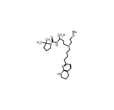 CC(C)(C)OCCN(CCCCc1ccc2c(n1)NCCC2)CCC(NC(=O)N1CCCC1(C)C)C(=O)O